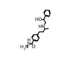 CC(CCc1ccc(C(=O)NN)cc1)NCC(O)c1ccccc1